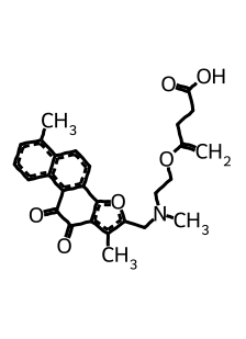 C=C(CCC(=O)O)OCCN(C)Cc1oc2c(c1C)C(=O)C(=O)c1c-2ccc2c(C)cccc12